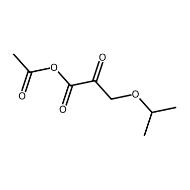 CC(=O)OC(=O)C(=O)COC(C)C